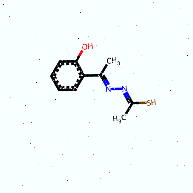 C/C(S)=N\N=C(/C)c1ccccc1O